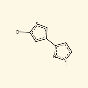 Clc1cc(-c2cc[nH]n2)cs1